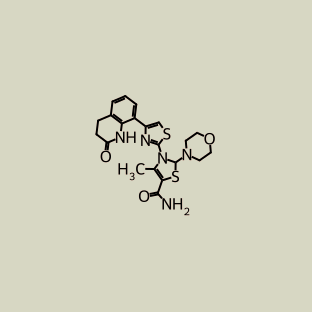 CC1=C(C(N)=O)SC(N2CCOCC2)N1c1nc(-c2cccc3c2NC(=O)CC3)cs1